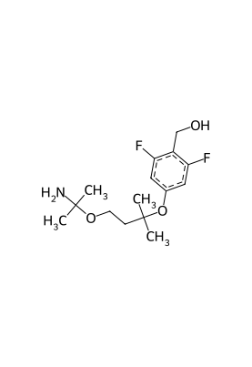 CC(C)(N)OCCC(C)(C)Oc1cc(F)c(CO)c(F)c1